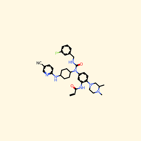 C=CC(=O)Nc1cc(N(C(=O)NCc2cccc(F)c2)C2CCC(Nc3ccc(C#N)cn3)CC2)ccc1N1CCN(C)C(C)C1